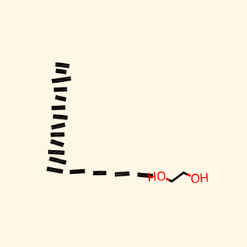 C=C.C=C.C=C.C=C.C=C.C=C.C=C.C=C.C=C.C=C.C=C.C=C.C=C.C=C.C=C.C=C.C=C.OCCO